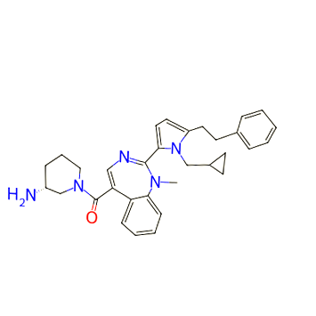 CN1C(c2ccc(CCc3ccccc3)n2CC2CC2)=NC=C(C(=O)N2CCC[C@@H](N)C2)c2ccccc21